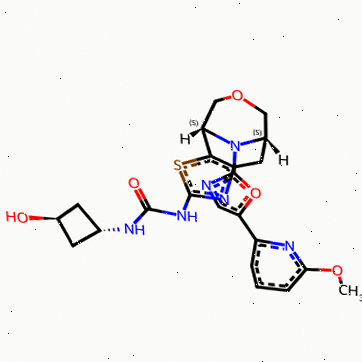 COc1cccc(-c2cnc(N3[C@@H]4COC[C@H]3c3sc(NC(=O)N[C@H]5C[C@H](O)C5)nc3C4)o2)n1